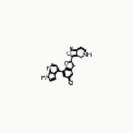 Clc1cc2c(c(-c3ccnc4[nH]ccc34)c1)OC(c1onc3c1CNCC3)C2